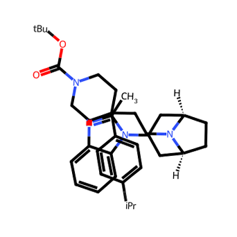 Cc1nc2ccccc2n1C1C[C@H]2CC[C@@H](C1)N2CCC1(c2ccc(C(C)C)cc2)CCN(C(=O)OC(C)(C)C)CC1